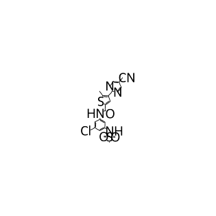 Cc1sc(C(=O)Nc2cc(Cl)cc(NS(C)(=O)=O)c2)cc1-c1ncc(C#N)cn1